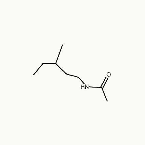 CCC(C)CCNC(C)=O